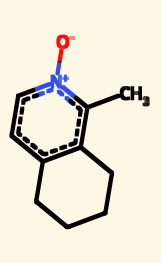 Cc1c2c(cc[n+]1[O-])CCCC2